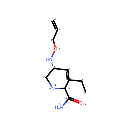 C=CCON[C@@H]1C=C(CC)C(C(N)=O)NC1